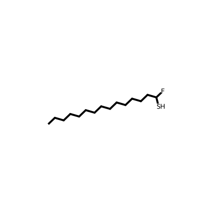 CCCCCCCCCCCCCCC(F)S